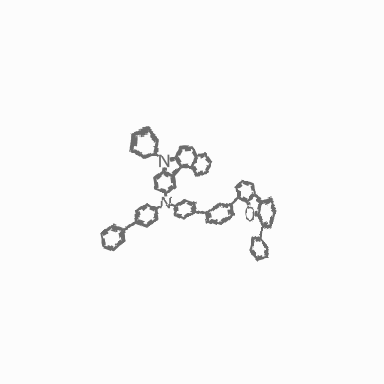 c1ccc(-c2ccc(N(c3ccc(-c4cccc(-c5cccc6c5oc5c(-c7ccccc7)cccc56)c4)cc3)c3ccc4c(c3)c3c5ccccc5ccc3n4-c3ccccc3)cc2)cc1